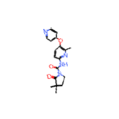 Cc1nc(NC(=O)N2CCC(C)(C)C2=O)ccc1Oc1c[c]ncc1